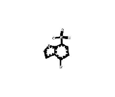 O=S(=O)(Cl)c1ccc(Br)c2ccsc12